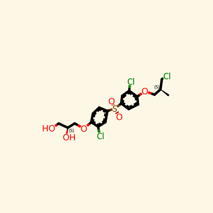 C[C@H](CCl)COc1ccc(S(=O)(=O)c2ccc(OC[C@@H](O)CO)c(Cl)c2)cc1Cl